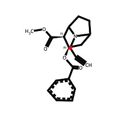 C#CCN1C2CCC1[C@H](C(=O)OC)[C@H](OC(=O)c1ccccc1)C2